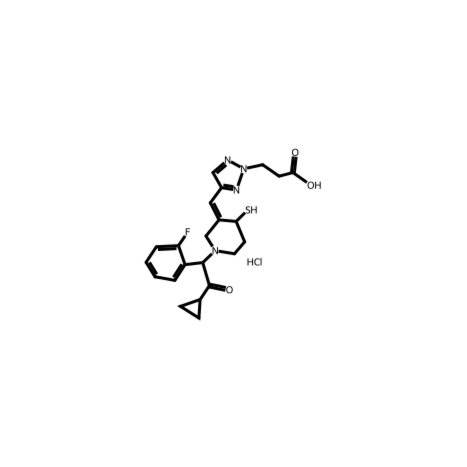 Cl.O=C(O)CCn1ncc(/C=C2/CN(C(C(=O)C3CC3)c3ccccc3F)CCC2S)n1